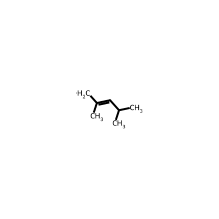 [CH2]C(C)=CC(C)C